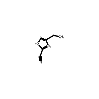 CCc1coc(C#N)n1